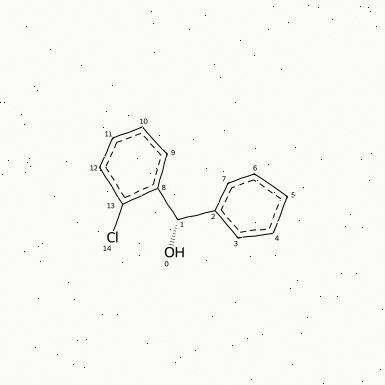 O[C@@H](c1ccccc1)c1ccccc1Cl